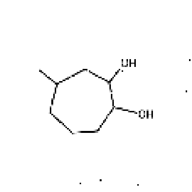 CC1CCCC(O)C(O)C1